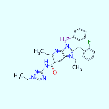 CCc1nc2nc(C(c3ccccc3F)c3ccccc3P)n(CC)c2cc1C(=O)Nc1ncn(CC)n1